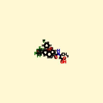 C[C@H](CC(=O)O)NC(=O)[C@@H]1CC[C@@]2(S(=O)(=O)c3ccc(F)cc3)c3ccc(C(F)(C(F)(F)F)C(F)(F)F)cc3CC[C@@H]12